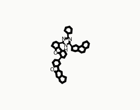 c1ccc(C2=NC(c3cccc4oc5c(-c6ccc7oc8cc9ccccc9cc8c7c6)cccc5c34)NC(c3ccc4ccc5ccccc5c4c3)=N2)cc1